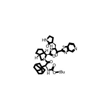 CC(C)(C)OC(=O)N[C@H](C(=O)N1C[C@@H]2CCC[C@@H]2[C@H]1C(=O)N[C@@H](C[C@@H]1CCNC1=O)C(=O)c1nc2cnccc2s1)C12CC3CC(CC(C3)C1)C2